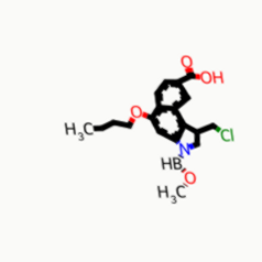 CCCCOc1cc2c(c3cc(C(=O)O)ccc13)C(CCl)CN2BOC